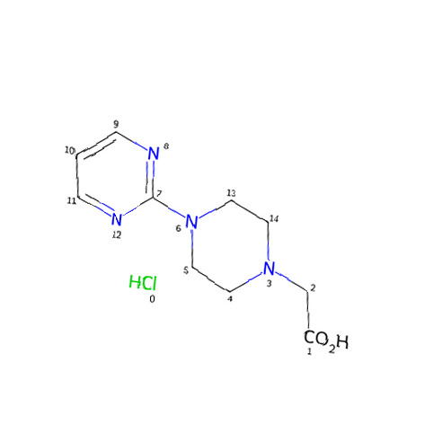 Cl.O=C(O)CN1CCN(c2ncccn2)CC1